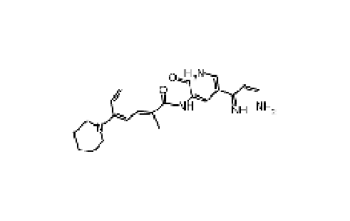 C=C/C(=C\C=C(/C)C(=O)N/C(C=O)=C/C(=C\N)C(=N)/C=C\N)N1CCCCC1